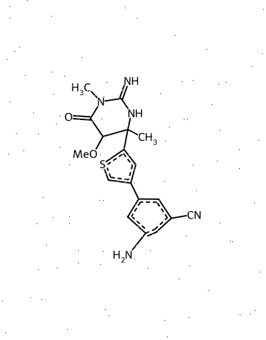 COC1C(=O)N(C)C(=N)NC1(C)c1cc(-c2cc(N)cc(C#N)c2)cs1